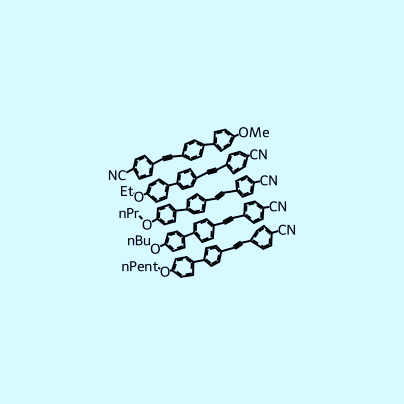 CCCCCOc1ccc(-c2ccc(C#Cc3ccc(C#N)cc3)cc2)cc1.CCCCOc1ccc(-c2ccc(C#Cc3ccc(C#N)cc3)cc2)cc1.CCCOc1ccc(-c2ccc(C#Cc3ccc(C#N)cc3)cc2)cc1.CCOc1ccc(-c2ccc(C#Cc3ccc(C#N)cc3)cc2)cc1.COc1ccc(-c2ccc(C#Cc3ccc(C#N)cc3)cc2)cc1